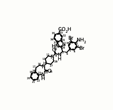 Nc1c(Br)cc(C[C@@H](NC(=O)N2CCC(N3CCc4ccccc4NC3=O)CC2)c2nc3cc(C(=O)O)ccc3[nH]2)cc1Br